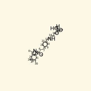 Cc1nn(C(=O)CCc2ccc(CNCCCO[PH](=O)O)cc2)c2c1CC(C)(C)[C@H](C)C2